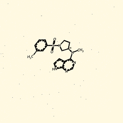 Cc1cccc(S(=O)(=O)N2CC[C@@H](N(C)c3ncnc4[nH]ccc34)C2)c1